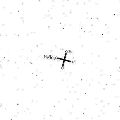 CCC(OCC(C)C)(C(C)=O)C(=O)O.[AlH3]